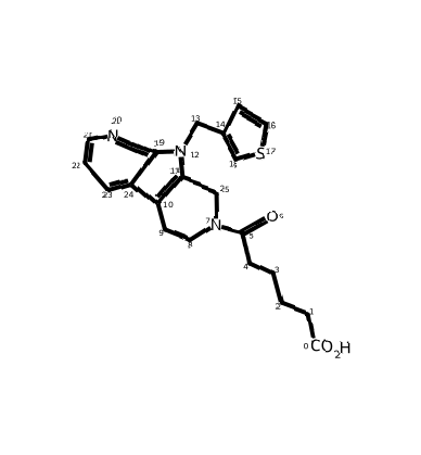 O=C(O)CCCCC(=O)N1CCc2c(n(Cc3ccsc3)c3ncccc23)C1